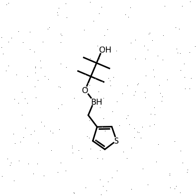 CC(C)(O)C(C)(C)OBCc1ccsc1